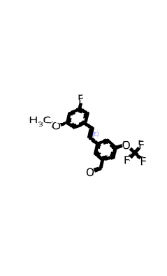 COc1cc(F)cc(/C=C/c2cc(C=O)cc(OC(F)(F)F)c2)c1